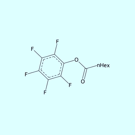 CCCCCCC(=O)Oc1c(F)c(F)c(F)c(F)c1F